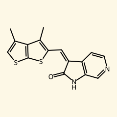 Cc1csc2sc(C=C3C(=O)Nc4cnccc43)c(C)c12